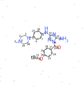 CN1CCN(c2ccc(Nc3nc(N)n(C(=O)c4ccc(OC(C)(C)C)cc4)n3)cc2)CC1